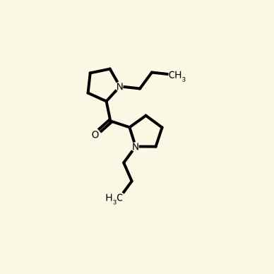 CCCN1CCCC1C(=O)C1CCCN1CCC